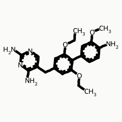 CCOc1cc(Cc2cnc(N)nc2N)cc(OCC)c1-c1ccc(N)c(OC)c1